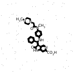 CN1CCN(CC(=O)N(C)c2ccc(NC(=C3C(=O)Nc4cc(C(=O)O)ncc43)c3ccccc3)cc2)CC1